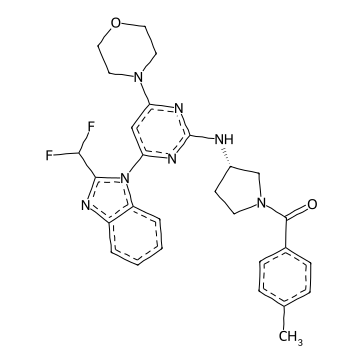 Cc1ccc(C(=O)N2CC[C@H](Nc3nc(N4CCOCC4)cc(-n4c(C(F)F)nc5ccccc54)n3)C2)cc1